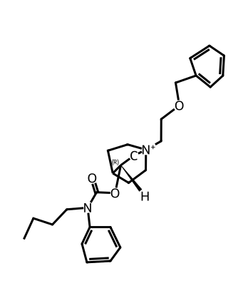 CCCCN(C(=O)O[C@H]1C[N+]2(CCOCc3ccccc3)CCC1CC2)c1ccccc1